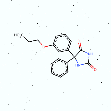 O=C(O)CCOc1cccc(C2(c3ccccc3)NC(=O)NC2=O)c1